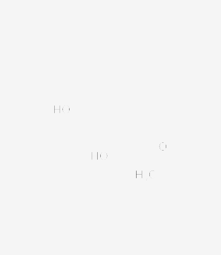 COC1=C(O)C(O)=CCC1